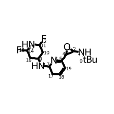 CC(C)(C)NC1OC1C1=NC(NC2CC(F)NC(F)C2)CC=C1